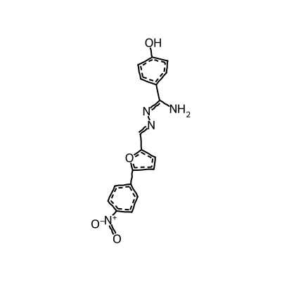 NC(=NN=Cc1ccc(-c2ccc([N+](=O)[O-])cc2)o1)c1ccc(O)cc1